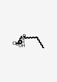 CCCCCCCC/C=C\CCCCCCCC(=O)NC(C)Cc1ccc(O)c(OCl)c1